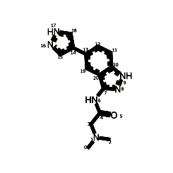 CN(C)CC(=O)Nc1n[nH]c2ccc(-c3cn[nH]c3)cc12